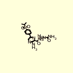 CC(C)S(=O)(=O)c1ccc(-c2cnc(N)c(C(=O)NSNC(N)=O)n2)cc1